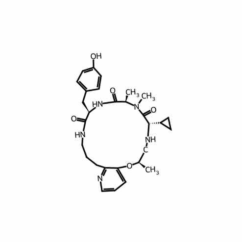 C[C@@H]1CN[C@@H](C2CC2)C(=O)N(C)[C@H](C)C(=O)N[C@H](Cc2ccc(O)cc2)C(=O)NCCCc2ncccc2O1